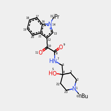 CCCCN1CCC(O)(CNC(=O)C(=O)c2cn(C(C)C)c3ccccc23)CC1